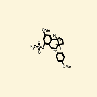 COC1=CCC([C@@H]2Cc3c(OS(=O)(=O)C(F)(F)F)cc(OC)cc3[C@@H]3CCC[C@@H]32)C=C1